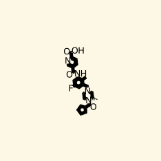 Cc1c(CN2CCN(C(=O)C3CCCC3)[C@@H](C)C2)cc(F)cc1NC(=O)c1ccc(C(=O)O)nc1